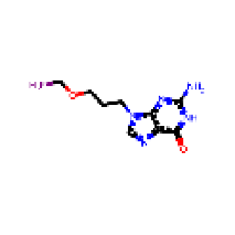 Nc1nc2c(ncn2CCCOCP)c(=O)[nH]1